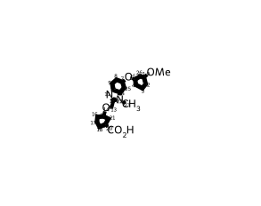 COc1cccc(Oc2ccc3nc(COc4cccc(C(=O)O)c4)n(C)c3c2)c1